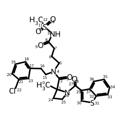 CC1(C(=O)N(CCCC(=O)NS(C)(=O)=O)CCc2cccc(Cl)c2)CCN1C(=O)c1csc2ccccc12